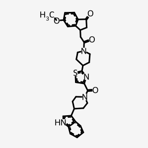 COc1ccc2c(c1)C(CC(=O)N1CCC(c3nc(C(=O)N4CCC(c5c[nH]c6ccccc56)CC4)cs3)CC1)CC2=O